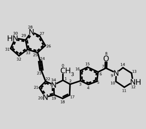 CC1C(c2ccc(C(=O)N3CCNCC3)cc2)C=Cc2ncc(C#Cc3ccnc4[nH]ccc34)n21